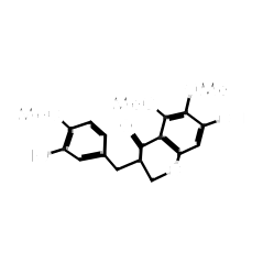 COc1ccc(CC2COc3cc(O)c(OC)c(OC)c3C2=O)cc1O